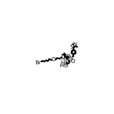 Cc1ncsc1-c1ccc(CNC(=O)[C@@H]2C[C@@H](O)CN2C(=O)[C@@H](NCCCCOCCCCCCBr)C(C)(C)C)cc1